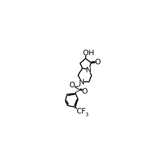 O=C1C(O)CC2CN(S(=O)(=O)c3cccc(C(F)(F)F)c3)CCN12